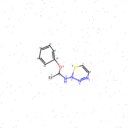 CCC(NN1N=NC=CS1)Oc1ccccc1